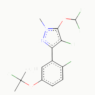 Cn1nc(-c2cc(OC(C)(Cl)C(=O)O)ccc2F)c(Cl)c1OC(F)F